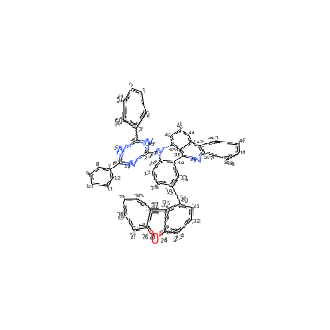 c1ccc(-c2nc(-c3ccccc3)nc(N3c4ccc(-c5cccc6oc7ccccc7c56)cc4-c4nc5ccccc5c5cccc3c45)n2)cc1